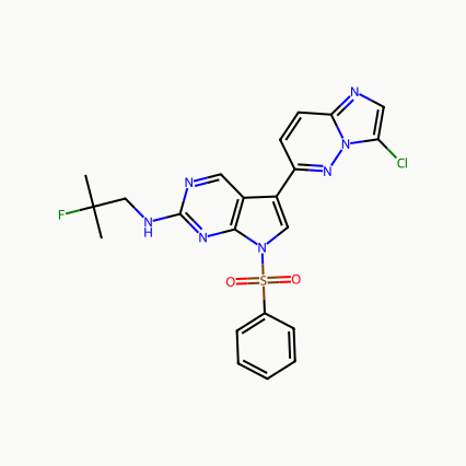 CC(C)(F)CNc1ncc2c(-c3ccc4ncc(Cl)n4n3)cn(S(=O)(=O)c3ccccc3)c2n1